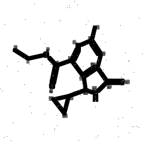 CCOC(=O)c1nc(C)cc2c1C(C1CC1)NC2=O